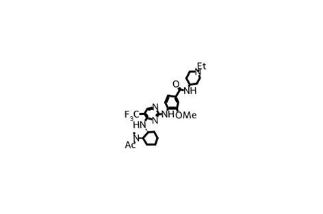 CCN1CCC(NC(=O)c2ccc(Nc3ncc(C(F)(F)F)c(N[C@@H]4CCCC[C@H]4N(C)C(C)=O)n3)c(OC)c2)CC1